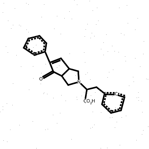 O=C1C(c2ccccc2)=CC2CN(C(Cc3ccccc3)C(=O)O)CC12